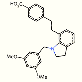 COc1cc(CN2CCc3cccc(CCc4ccc(C(=O)O)cc4)c32)cc(OC)c1